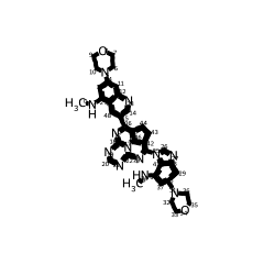 CNc1cc(N2CCOCC2)cc2ncc(-c3nc4ncnc5nc(-n6cnc7cc(N8CCOCC8)cc(NC)c76)c6ccc3c6n45)cc12